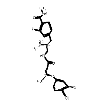 CNC(=O)c1ccc(C[C@@H](CNC(=O)C[C@H](C)Oc2ccc(Cl)c(Cl)c2)N(C)C)cc1F